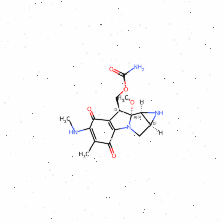 CNC1=C(C)C(=O)C2=C(C1=O)[C@@H](COC(N)=O)[C@@]1(OC)[C@H]3N[C@H]3CN21